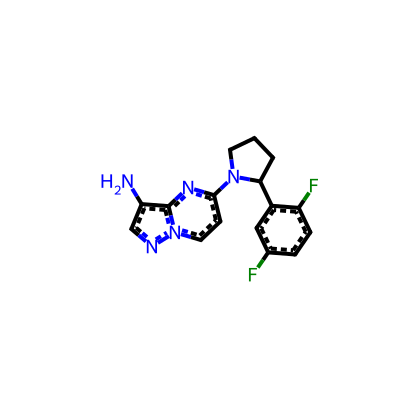 Nc1cnn2ccc(N3CCCC3c3cc(F)ccc3F)nc12